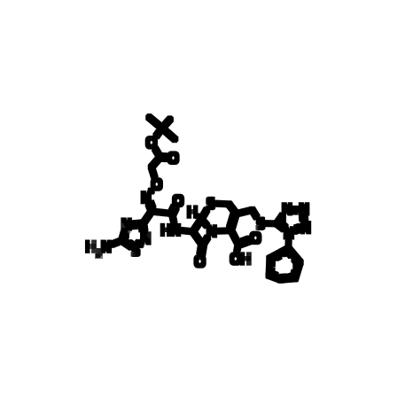 CC(C)(C)OC(=O)CO/N=C(\C(=O)NC1C(=O)N2C(C(=O)O)=C(CSc3nnnn3-c3ccccc3)CS[C@H]12)c1nsc(N)n1